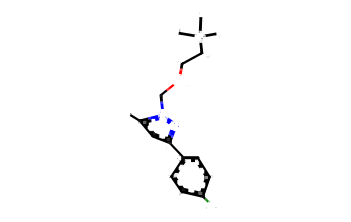 Cc1cc(-c2ccc(Br)cc2)nn1COCC[Si](C)(C)C